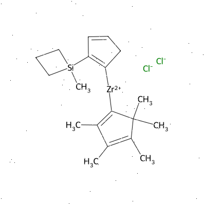 CC1=C(C)C(C)(C)[C]([Zr+2][C]2=C([Si]3(C)CCC3)C=CC2)=C1C.[Cl-].[Cl-]